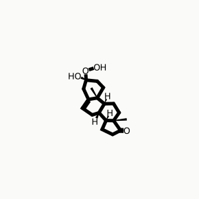 C[C@]12CC[C@@](O)(OO)CC1=CC[C@@H]1[C@@H]2CC[C@]2(C)C(=O)CC[C@@H]12